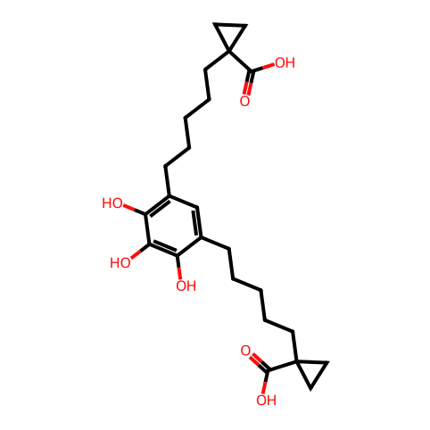 O=C(O)C1(CCCCCc2cc(CCCCCC3(C(=O)O)CC3)c(O)c(O)c2O)CC1